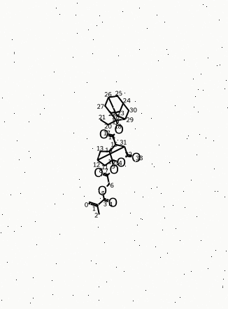 C=C(C)C(=O)OCC(=O)OC12CC3CC1C(C(=O)OC1(CC)C4CC5CC(C4)CC1C5)C3C(=O)O2